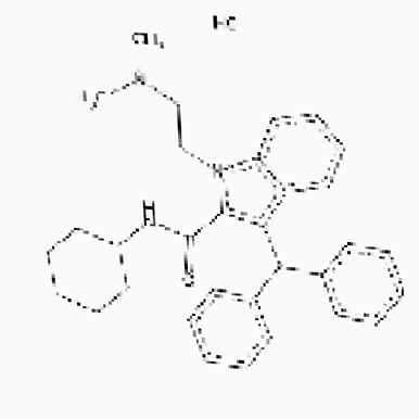 CN(C)CCn1c(C(=O)NC2CCCCC2)c(C(c2ccccc2)c2ccccc2)c2ccccc21.Cl